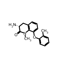 Cc1ccccc1Oc1cccc2c1N(C)C(=O)[C@H](N)C2